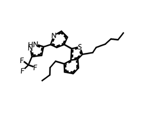 CCCCCCc1sc(-c2ccnc(-c3cc(C(F)(F)F)n[nH]3)c2)c2c(CCCC)cccc12